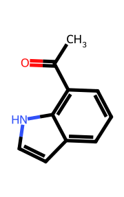 CC(=O)c1cccc2cc[nH]c12